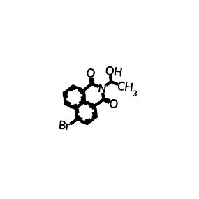 CC(O)N1C(=O)c2cccc3c(Br)ccc(c23)C1=O